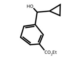 CCOC(=O)c1cccc(C(O)C2CC2)c1